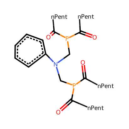 CCCCCC(=O)P(CN(CP(C(=O)CCCCC)C(=O)CCCCC)c1ccccc1)C(=O)CCCCC